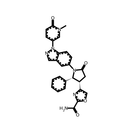 Cn1cc(-n2ncc3cc(N4C(=O)C[C@H](c5coc(C(N)=O)n5)[C@@H]4c4ccccc4)ccc32)ccc1=O